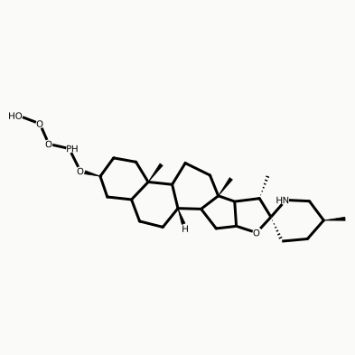 C[C@H]1CC[C@]2(NC1)OC1CC3[C@@H]4CCC5C[C@@H](OPOOO)CC[C@]5(C)C4CC[C@]3(C)C1[C@@H]2C